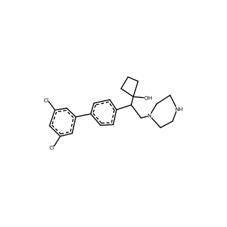 OC1(C(CN2CCNCC2)c2ccc(-c3cc(Cl)cc(Cl)c3)cc2)CCC1